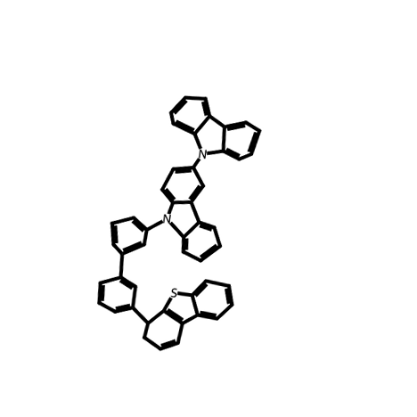 C1=Cc2c(sc3ccccc23)C(c2cccc(-c3cccc(-n4c5ccccc5c5cc(-n6c7ccccc7c7ccccc76)ccc54)c3)c2)C1